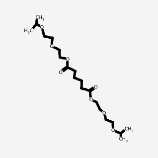 CC(C)OCCOCCOC(=O)CCCCC(=O)OCCOCCOC(C)C